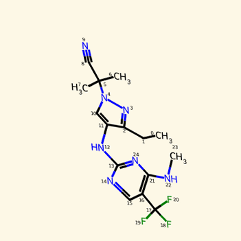 CCc1nn(C(C)(C)C#N)cc1Nc1ncc(C(F)(F)F)c(NC)n1